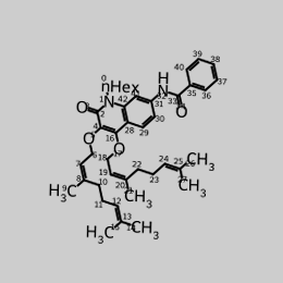 CCCCCCn1c(=O)c(OCC=C(C)CCC=C(C)C)c(OCC=C(C)CCC=C(C)C)c2ccc(NC(=O)c3ccccc3)cc21